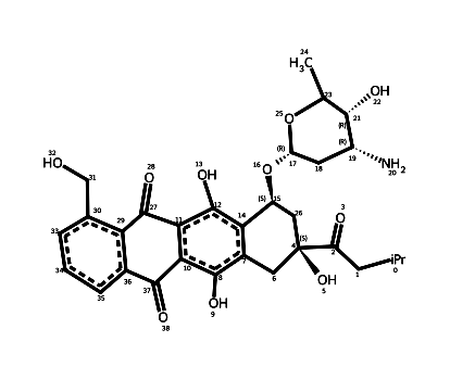 CC(C)CC(=O)[C@]1(O)Cc2c(O)c3c(c(O)c2[C@@H](O[C@H]2C[C@@H](N)[C@@H](O)C(C)O2)C1)C(=O)c1c(CO)cccc1C3=O